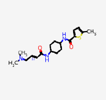 Cc1ccc(C(=O)NC2CCC(NC(=O)/C=C/CN(C)C)CC2)s1